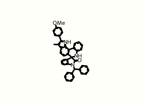 COc1ccc(-c2[nH]c3c4c(ccc3c2C)C2(Nc3ccccc3-4)C(=O)N(C(c3ccccc3)c3ccccc3)c3ccccc32)cc1